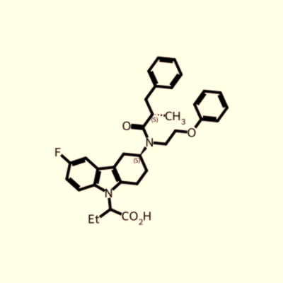 CCC(C(=O)O)n1c2c(c3cc(F)ccc31)C[C@@H](N(CCOc1ccccc1)C(=O)[C@@H](C)Cc1ccccc1)CC2